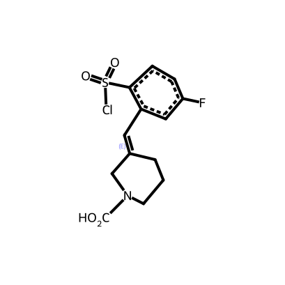 O=C(O)N1CCC/C(=C\c2cc(F)ccc2S(=O)(=O)Cl)C1